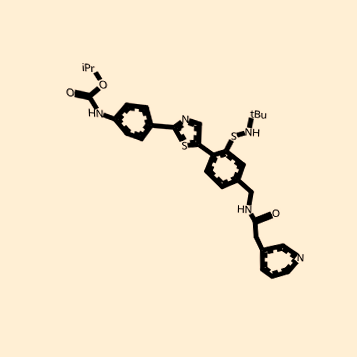 CC(C)OC(=O)Nc1ccc(-c2ncc(-c3ccc(CNC(=O)Cc4cccnc4)cc3SNC(C)(C)C)s2)cc1